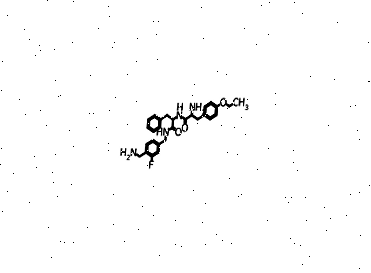 CCOc1ccc(CC(N)C(=O)NC(Cc2ccccc2)C(=O)NCc2ccc(CN)c(F)c2)cc1